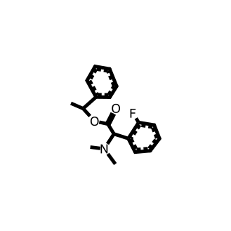 CC(OC(=O)C(c1ccccc1F)N(C)C)c1ccccc1